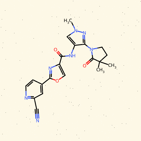 Cn1cc(NC(=O)c2coc(-c3ccnc(C#N)c3)n2)c(N2CCC(C)(C)C2=O)n1